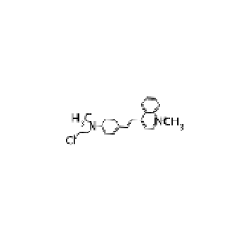 CN(CCCl)c1ccc(/C=C/c2cc[n+](C)c3ccccc23)cc1